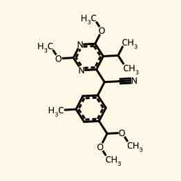 COc1nc(OC)c(C(C)C)c(C(C#N)c2cc(C)cc(C(OC)OC)c2)n1